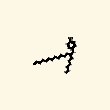 CCCCCCCCCCCCC(CCCCCC)Cc1ccc(O)cc1